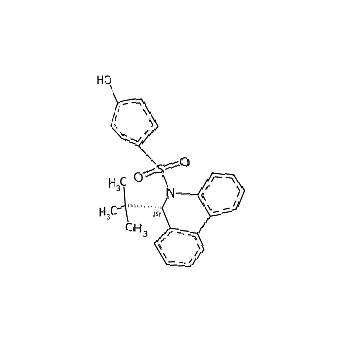 CC(C)(C)[C@H]1c2ccccc2-c2ccccc2N1S(=O)(=O)c1ccc(O)cc1